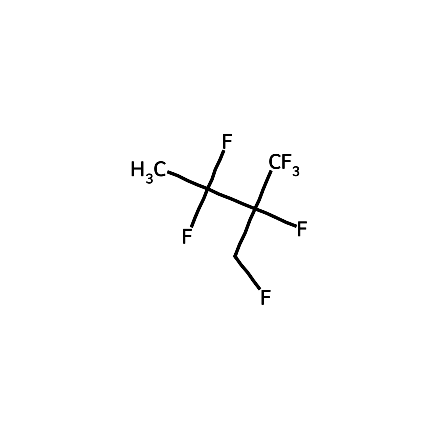 CC(F)(F)C(F)(CF)C(F)(F)F